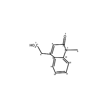 Cn1c(=O)cc(CC(=O)O)c2ccccc21